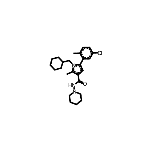 Cc1ccc(Cl)cc1-c1cc(C(=O)NN2CCCCC2)c(C)n1CC1CCCCC1